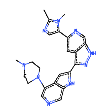 Cc1ncc(-c2cc3c(-c4cc5c(N6CCN(C)CC6)cncc5[nH]4)n[nH]c3cn2)n1C